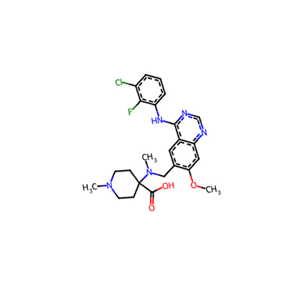 COc1cc2ncnc(Nc3cccc(Cl)c3F)c2cc1CN(C)C1(C(=O)O)CCN(C)CC1